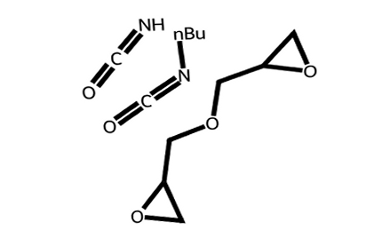 C(OCC1CO1)C1CO1.CCCCN=C=O.N=C=O